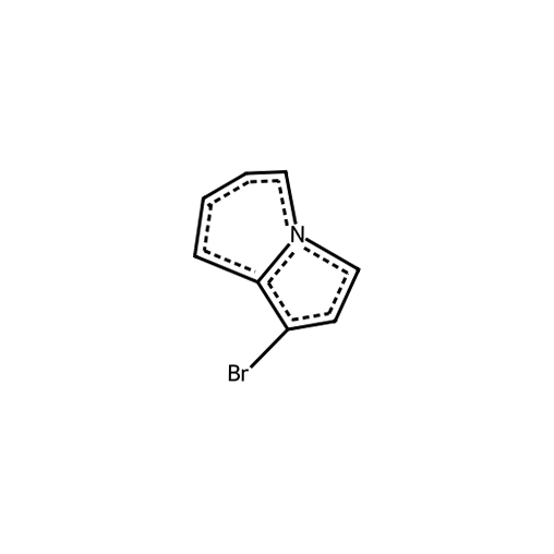 Brc1ccn2ccccc12